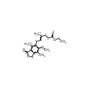 CCOC(=O)CC/C(C)=C/Cc1c(C)c2c(c(C)c1OC)COC2=O